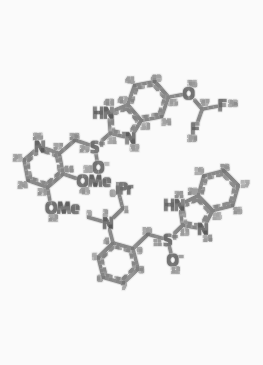 CC(C)CN(C)c1ccccc1C[S+]([O-])c1nc2ccccc2[nH]1.COc1ccnc(C[S+]([O-])c2nc3cc(OC(F)F)ccc3[nH]2)c1OC